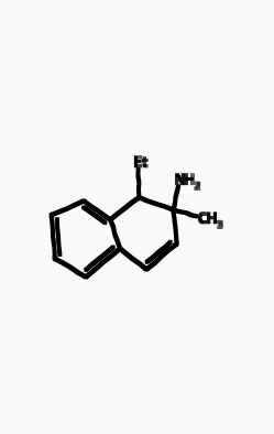 CCC1c2ccccc2C=CC1(C)N